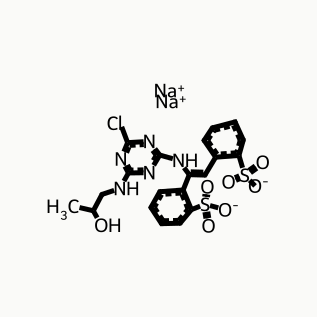 CC(O)CNc1nc(Cl)nc(NC(=Cc2ccccc2S(=O)(=O)[O-])c2ccccc2S(=O)(=O)[O-])n1.[Na+].[Na+]